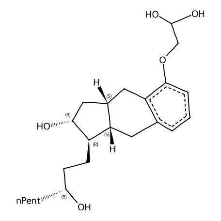 CCCCC[C@@H](O)CC[C@@H]1[C@H]2Cc3cccc(OCC(O)O)c3C[C@H]2C[C@H]1O